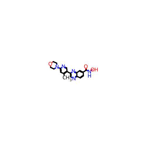 Cc1cc(N2CCOCC2)ncc1-c1cnc2ccc(C(=O)NO)cc2n1